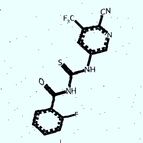 N#Cc1ncc(NC(=S)NC(=O)c2ccccc2F)cc1C(F)(F)F